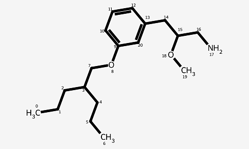 CCCC(CCC)COc1cccc(CC(CN)OC)c1